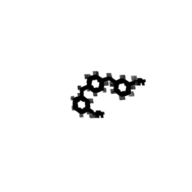 CCCc1cccc(Cc2ccc(Cc3cccc(CCC)c3)cc2)c1